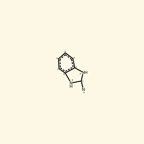 [N]C1Nc2ccccc2N1